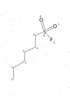 CCCCCCS(=O)(=O)F